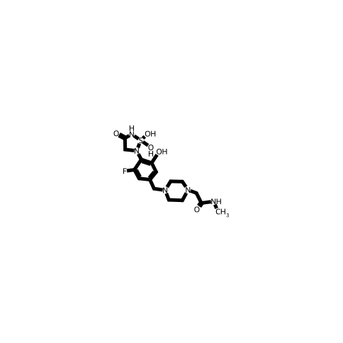 CNC(=O)CN1CCN(Cc2cc(O)c(N3CC(=O)NS3(O)O)c(F)c2)CC1